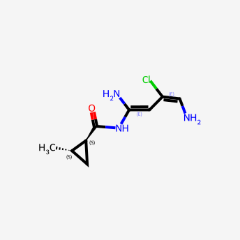 C[C@H]1C[C@@H]1C(=O)N/C(N)=C/C(Cl)=C\N